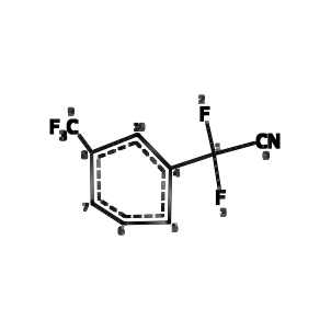 N#CC(F)(F)c1cccc(C(F)(F)F)c1